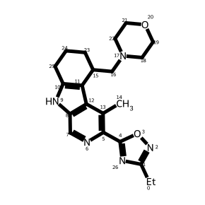 CCc1noc(-c2ncc3[nH]c4c(c3c2C)C(CN2CCOCC2)CCC4)n1